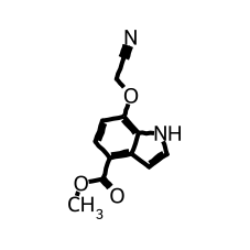 COC(=O)c1ccc(OCC#N)c2[nH]ccc12